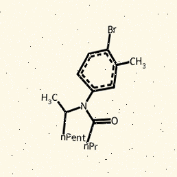 CCCCCC(C)N(C(=O)CCC)c1ccc(Br)c(C)c1